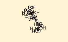 CC(C)(C)[C@H](c1cc(-c2cc(F)ccc2F)cn1Cc1ccccc1)N(CC[C@H](N)C(=O)NCCOCCNC(=O)C(SC[C@H](N)C(=O)O)C(=O)O)C(=O)CO